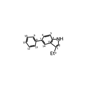 CCc1c[nH]c2ccc(-c3ccccc3)cc12